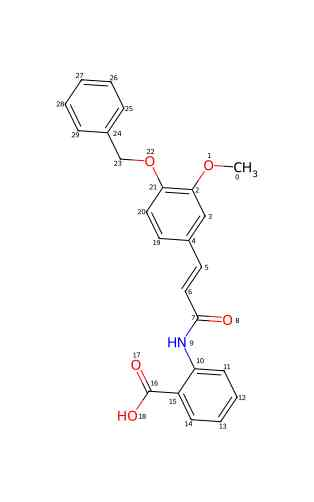 COc1cc(/C=C/C(=O)Nc2ccccc2C(=O)O)ccc1OCc1ccccc1